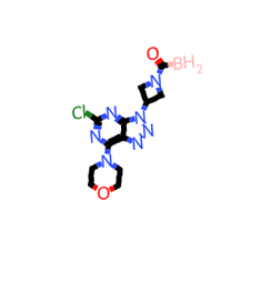 BC(=O)N1CC(n2nnc3c(N4CCOCC4)nc(Cl)nc32)C1